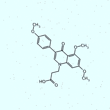 COc1ccc(-c2cn(CCC(=O)O)c3cc(OC)cc(OC)c3c2=O)cc1